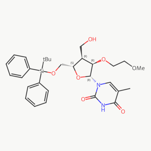 COCCO[C@@H]1[C@H](CO)[C@@H](CO[Si](c2ccccc2)(c2ccccc2)C(C)(C)C)O[C@H]1n1cc(C)c(=O)[nH]c1=O